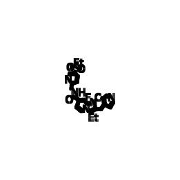 CCc1c(Cc2ccncc2C(F)(F)F)nc2cc(C(=O)NCc3ccc(S(=O)(=O)CC)cn3)ccn12